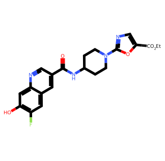 CCOC(=O)c1cnc(N2CCC(NC(=O)c3cnc4cc(O)c(F)cc4c3)CC2)o1